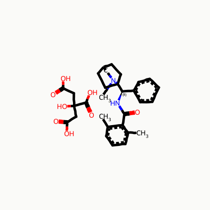 Cc1cccc(C)c1C(=O)N[C@H](c1ccccc1)C12CCC(CC1)CN2C.O=C(O)CC(O)(CC(=O)O)C(=O)O